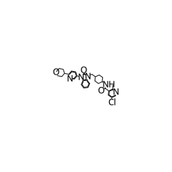 Cc1ncc(Cl)cc1C(=O)NC1CCC(Cn2c(=O)n(-c3ccc(C4CCOCC4)nc3)c3ccccc32)CC1